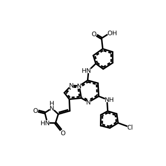 O=C1NC(=O)C(=Cc2cnn3c(Nc4cccc(C(=O)O)c4)cc(Nc4cccc(Cl)c4)nc23)N1